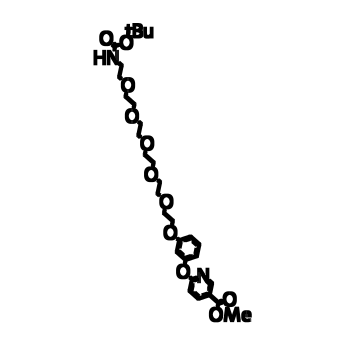 COC(=O)c1ccc(Oc2cccc(OCCOCCOCCOCCOCCOCCNC(=O)OC(C)(C)C)c2)nc1